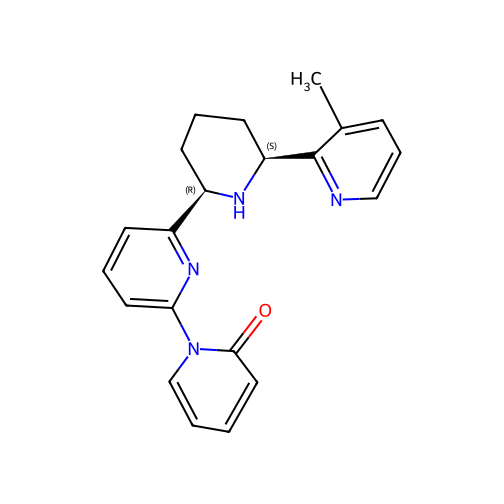 Cc1cccnc1[C@@H]1CCC[C@H](c2cccc(-n3ccccc3=O)n2)N1